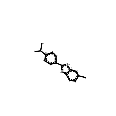 Cc1ccc2nc(-c3ccc(C(C)C)cc3)sc2c1